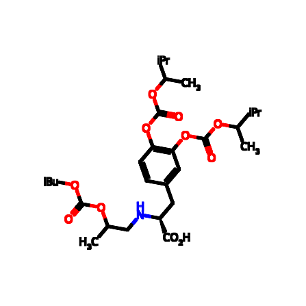 CCC(C)OC(=O)OC(C)CN[C@@H](Cc1ccc(OC(=O)OC(C)C(C)C)c(OC(=O)OC(C)C(C)C)c1)C(=O)O